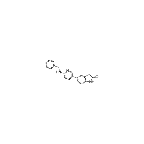 O=C1Cc2cc(-c3cnc(NCc4ccccc4)nc3)ccc2N1